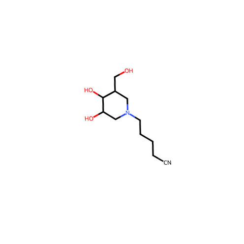 N#CCCCCN1CC(O)C(O)C(CO)C1